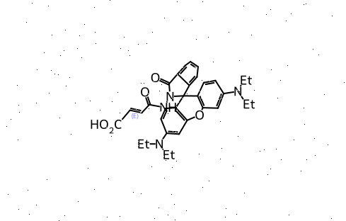 CCN(CC)c1ccc2c(c1)Oc1cc(N(CC)CC)ccc1C21c2ccccc2C(=O)N1NC(=O)/C=C/C(=O)O